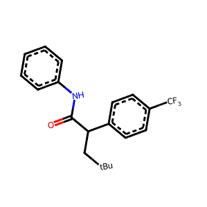 CC(C)(C)CC(C(=O)Nc1ccccc1)c1ccc(C(F)(F)F)cc1